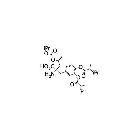 CC(C)OC(=O)O[C@@H](C)CC(N)(Cc1ccc(OC(=O)C(C)C(C)C)c(OC(=O)C(C)C(C)C)c1)C(=O)O